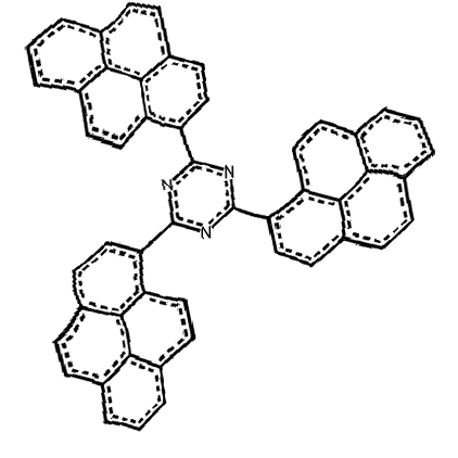 c1cc2ccc3ccc(-c4nc(-c5ccc6ccc7cccc8ccc5c6c78)nc(-c5ccc6ccc7cccc8ccc5c6c78)n4)c4ccc(c1)c2c34